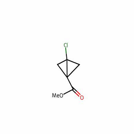 COC(=O)C12CC1(Cl)C2